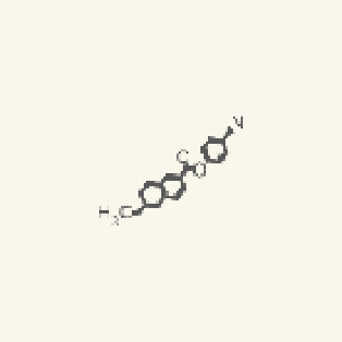 CCC1CCc2cc(C(=O)Oc3ccc(C#N)cc3)ccc2C1